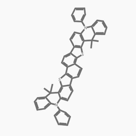 CC1(C)c2ccccc2N(c2ccccc2)c2ccc3c(sc4c3ccc3c4ccc4c5ccc6c(c5sc43)C(C)(C)c3ccccc3N6c3ccccc3)c21